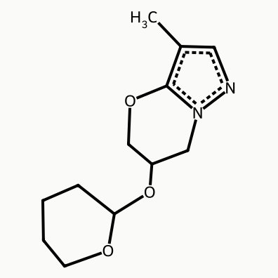 Cc1cnn2c1OCC(OC1CCCCO1)C2